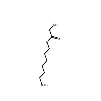 CCCCCCCCCCCCOC(=O)CN